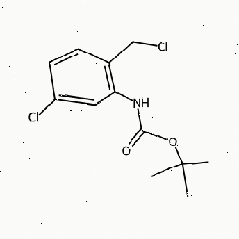 CC(C)(C)OC(=O)Nc1cc(Cl)ccc1CCl